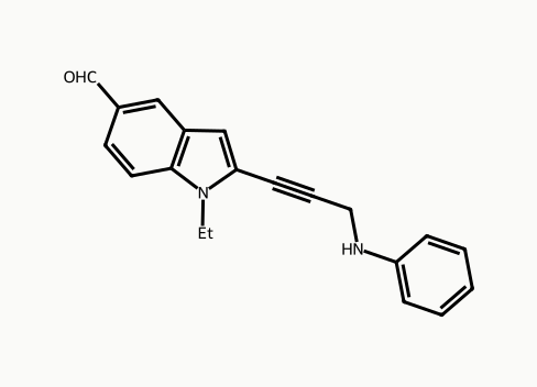 CCn1c(C#CCNc2ccccc2)cc2cc(C=O)ccc21